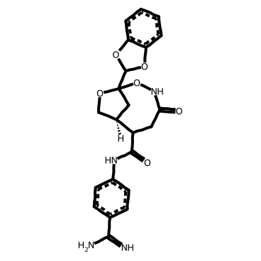 N=C(N)c1ccc(NC(=O)C2CC(=O)NOC3(C4Oc5ccccc5O4)C[C@@H]2CO3)cc1